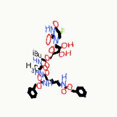 CC[C@H](C)[C@H](NC(=O)[C@H](C)NC(=O)[C@H](CCCCNC(=O)OCc1ccccc1)NC(=O)OCc1ccccc1)C(=O)OC[C@H]1O[C@@H](n2cc(F)c(=O)[nH]c2=O)[C@H](O)[C@@H]1O